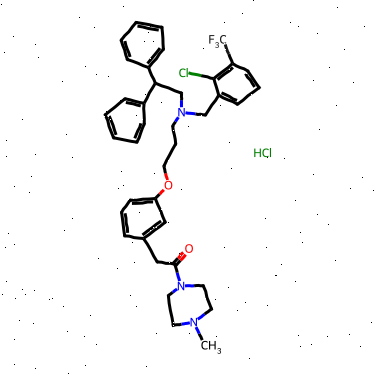 CN1CCN(C(=O)Cc2cccc(OCCCN(Cc3cccc(C(F)(F)F)c3Cl)CC(c3ccccc3)c3ccccc3)c2)CC1.Cl